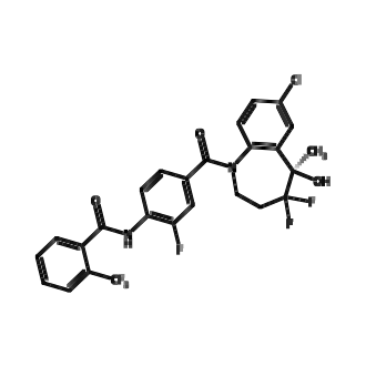 C[C@@]1(O)c2cc(Cl)ccc2N(C(=O)c2ccc(NC(=O)c3ccccc3C(F)(F)F)c(F)c2)CCC1(F)F